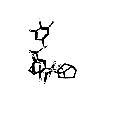 O=C1CC[C@@H](C(=O)NC[C@]2(O)C3CCC2C[C@@H](S(=O)(=O)c2cc(C(=O)Nc4cc(F)c(F)c(F)c4)ccc2Cl)C3)N1